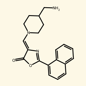 NCC1CCN(C=C2N=C(c3cccc4ccccc34)OC2=O)CC1